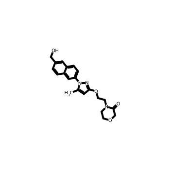 Cc1cc(OCCN2CCOCC2=O)nn1-c1ccc2cc(CO)ccc2c1